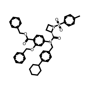 Cc1ccc(S(=O)(=O)N2CC[C@@H]2C(=O)N(Cc2ccc(C3CCCCC3)cc2)c2ccc(C(=O)OCc3ccccc3)c(OCc3ccccc3)c2)cc1